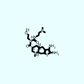 CCOCCN(C(=O)NCCN(C)C)C(=O)[C@@H]1C[C@@H]2Cc3c(sc(N)c3N)C[C@H]2N(C)C1